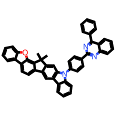 CC1(C)c2cc3c(cc2-c2ccc4c(oc5ccccc54)c21)c1ccccc1n3-c1ccc(-c2nc(-c3ccccc3)c3ccccc3n2)cc1